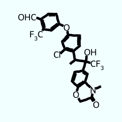 CC(c1ccc(Oc2ccc(C=O)c(C(F)(F)F)c2)cc1Cl)C(O)(c1ccc2c(c1)N(C)C(=O)CO2)C(F)(F)F